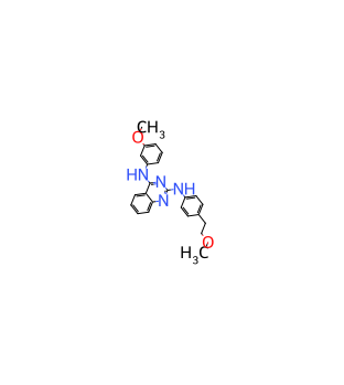 COCCc1ccc(Nc2nc(Nc3cccc(OC)c3)c3ccccc3n2)cc1